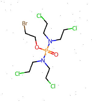 O=P(OCCBr)(N(CCCl)CCCl)N(CCCl)CCCl